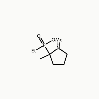 CCP(=O)(OC)C1(C)CCCN1